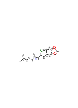 CC(C)=CCC/C(C)=C/CCc1cc2c(cc1Cl)OCO2